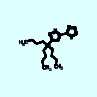 CCC[CH2][Sn]([CH2]CCC)([CH2]CCC)[c]1cc(-c2nccs2)no1